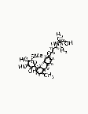 CS[C@H]1OC(c2ccc(C)c(Cc3ccc(OCCCNC(C)(C)CO)cc3)c2)[C@H](O)[C@@H](O)[C@@H]1O